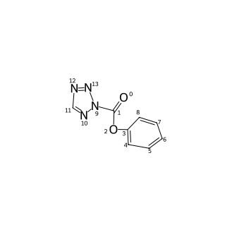 O=C(Oc1ccccc1)n1ncnn1